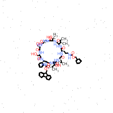 CC[C@H](C)[C@@H]1NC(=O)[C@@H](CCCNC(=O)OCc2ccccc2)NC(=O)[C@H](CC(C)C)NC(=O)[C@H]([C@H](O)C(C)C)NC(=O)[C@@H](NC(=O)OCC2c3ccccc3-c3ccccc32)[C@@H](c2ccccc2)NC(=O)C(CO)NC(=O)[C@H](CO)NC(=O)CNC(=O)[C@H]([C@H](C)O)NC1=O